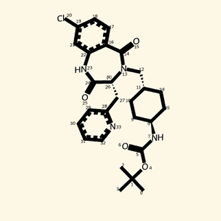 CC(C)(C)OC(=O)N[C@H]1CC[C@H](CN2C(=O)c3ccc(Cl)cc3NC(=O)[C@H]2Cc2ccccn2)CC1